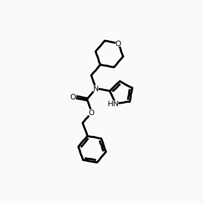 O=C(OCc1ccccc1)N(CC1CCOCC1)c1ccc[nH]1